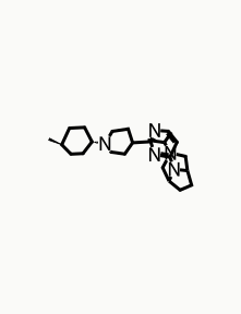 CC(C)N1CC2CCC(C1)N2c1ccnc(C2CCN([C@H]3CC[C@H](C)CC3)CC2)n1